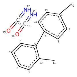 Cc1ccc(-c2ccccc2C)cc1.N=C=O.N=C=O